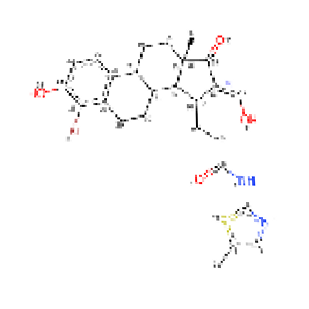 Cc1cnc(NC(=O)CC[C@@H]2/C(=C\O)C(=O)[C@@]3(C)CCC4c5ccc(O)c(Br)c5CCC4C23)s1